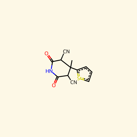 CC1(c2cccs2)C(C#N)C(=O)NC(=O)C1C#N